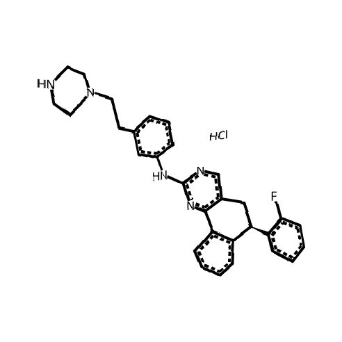 Cl.Fc1ccccc1[C@@H]1Cc2cnc(Nc3cccc(CCN4CCNCC4)c3)nc2-c2ccccc21